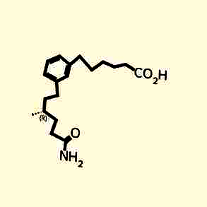 C[C@@H](CCC(N)=O)CCc1cccc(CCCCCC(=O)O)c1